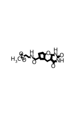 CS(=O)(=O)CCNC(=O)c1ccc2c(c1)Cc1c([nH]c(=O)[nH]c1=O)O2